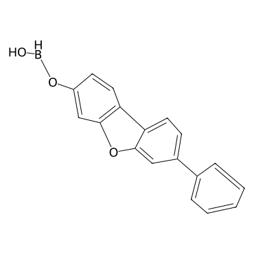 OBOc1ccc2c(c1)oc1cc(-c3ccccc3)ccc12